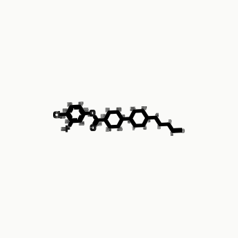 C=CCCCC1CCC(C2CCC(C(=O)Oc3ccc(Cl)c(F)c3)CC2)CC1